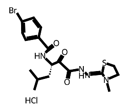 CC(C)C[C@H](NC(=O)c1ccc(Br)cc1)C(=O)C(=O)N/N=C1\SCCN1C.Cl